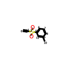 C#CS(=O)(=O)c1cccc(C)c1